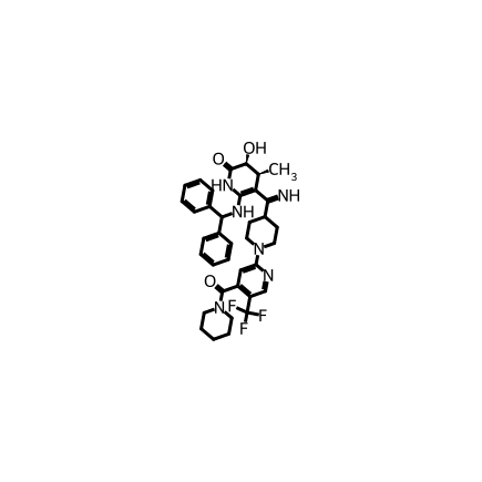 C[C@H]1C(C(=N)C2CCN(c3cc(C(=O)N4CCCCC4)c(C(F)(F)F)cn3)CC2)=C(NC(c2ccccc2)c2ccccc2)NC(=O)[C@H]1O